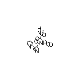 NC(=O)C(=O)C(Cc1ccoc1)NC(=O)c1cnsc1-c1ccccn1